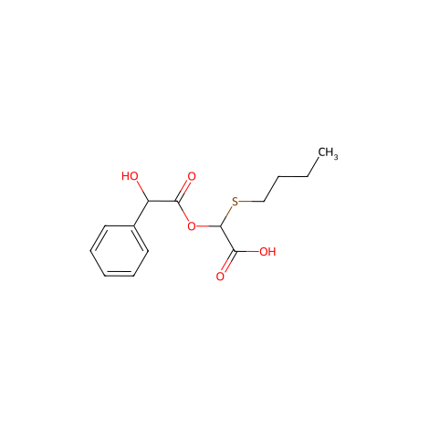 CCCCSC(OC(=O)C(O)c1ccccc1)C(=O)O